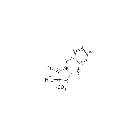 CC1(C(=O)O)CCN(Cc2ccccc2Cl)C1=O